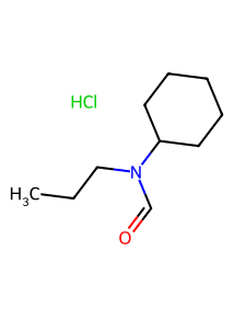 CCCN(C=O)C1CCCCC1.Cl